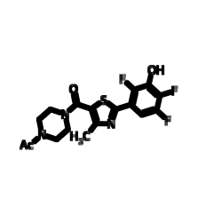 CC(=O)N1CCN(C(=O)c2sc(-c3cc(F)c(F)c(O)c3F)nc2C)CC1